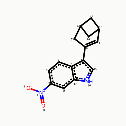 O=[N+]([O-])c1ccc2c(C3=CC4CC(C3)C4)c[nH]c2c1